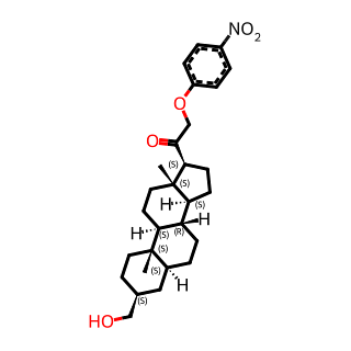 C[C@]12CC[C@H](CO)C[C@@H]1CC[C@@H]1[C@@H]2CC[C@]2(C)[C@@H](C(=O)COc3ccc([N+](=O)[O-])cc3)CC[C@@H]12